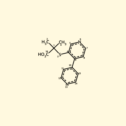 CC(C)(Sc1cnccc1-c1ccncc1)C(=O)O